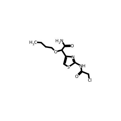 CCCCOC(C(N)=O)c1csc(NC(=O)CCl)n1